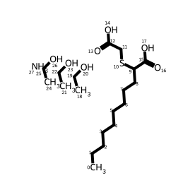 CCCCCCCCCC(SCC(=O)O)C(=O)O.CCO.CCO.CCO.N